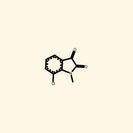 CN1C(=O)C(=O)c2cccc(Cl)c21